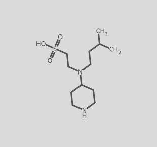 CC(C)CCN(CCS(=O)(=O)O)C1CCNCC1